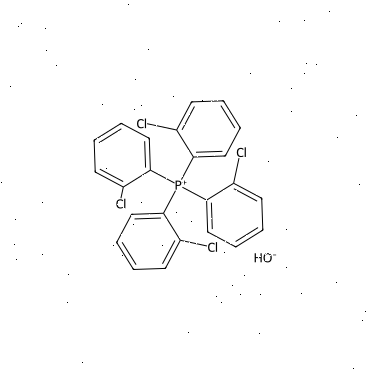 Clc1ccccc1[P+](c1ccccc1Cl)(c1ccccc1Cl)c1ccccc1Cl.[OH-]